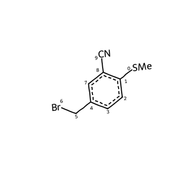 CSc1ccc(CBr)cc1C#N